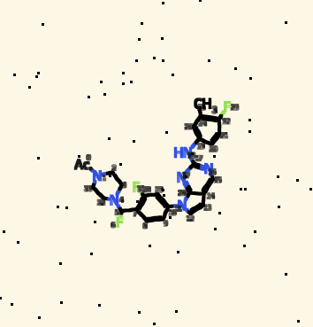 CC(=O)N1CCN(C(F)c2ccc(-n3ccc4cnc(Nc5ccc(F)c(C)c5)nc43)cc2F)CC1